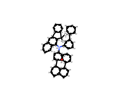 CC1(C)c2ccccc2-c2cc3ccccc3c(N(c3ccc(-c4cccc5cccc(-c6ccccc6)c45)cc3)c3cccc(-c4ccccc4)c3)c21